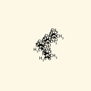 Cn1c(=O)c2c(ncn2C)n(C)c1=O.Cn1c(=O)c2c(ncn2C)n(C)c1=O.Cn1c(=O)c2c(ncn2C)n(C)c1=O.Cn1c(=O)c2c(ncn2C)n(C)c1=O